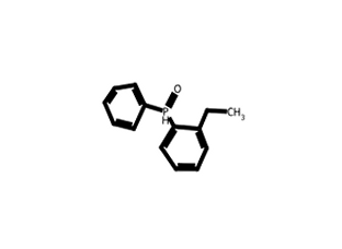 CCc1ccccc1[PH](=O)c1ccccc1